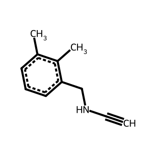 C#CNCc1cccc(C)c1C